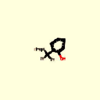 CCCCCCCC(CC)(CC)c1ccccc1O